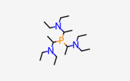 CCN(CC)C(C)P(C(C)N(CC)CC)C(C)N(CC)CC